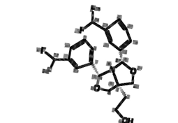 OCC[C@]12CO[C@H](c3cccc(C(F)F)c3)N1[C@H](c1cccc(C(F)F)c1)OC2